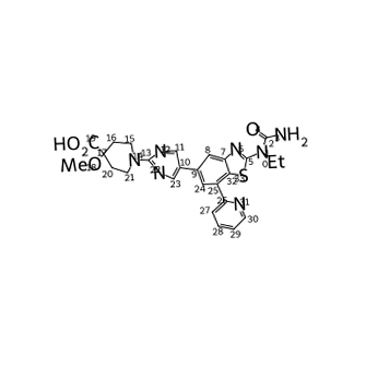 CCN(C(N)=O)c1nc2cc(-c3cnc(N4CCC(OC)(C(=O)O)CC4)nc3)cc(-c3ccccn3)c2s1